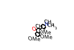 COc1ccc(C(=O)C(C)=Cc2ccc(N(C)C)cc2)c(OC)c1OC